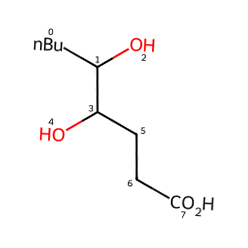 CCCCC(O)C(O)CCC(=O)O